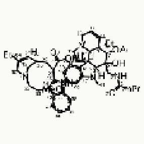 CCCC(=O)NCC1(O)[C@H](OC(C)=O)[C@]2(CC)C=CCN3CC[C@@]4(c5cc([C@@]6(C(=O)OC)C[C@@H]7C=C(CC)CN(CCc8c6[nH]c6ccccc86)C7)c(OC)cc5N(C)[C@@H]14)[C@@H]32